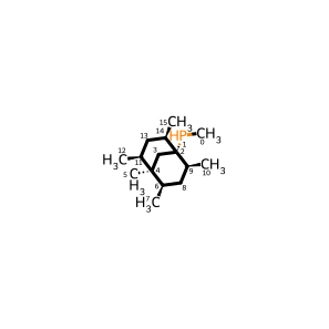 CP[C@@]12C[C@@](C)([C@H](C)C[C@@H]1C)[C@@H](C)C[C@H]2C